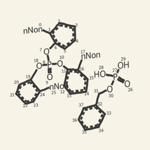 CCCCCCCCCc1ccccc1OP(=O)(Oc1ccccc1CCCCCCCCC)Oc1ccccc1CCCCCCCCC.O=P(O)(O)OCc1ccccc1